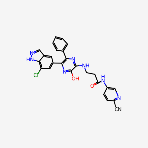 N#Cc1ccc(NC(=O)CCNc2nc(-c3ccccc3)c(-c3cc(Cl)c4[nH]ncc4c3)nc2O)cn1